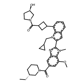 CC[C@@H]1CCCN(C(=O)c2cc(OC)c3c(c2)nc(-c2cc4cccc(C5CC(C(=O)N6CC[C@@H](O)C6)C5)c4n2CC2CC2)n3C)C1